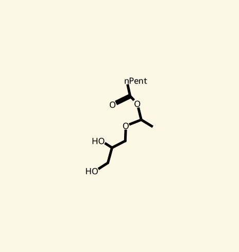 CCCCCC(=O)OC(C)OCC(O)CO